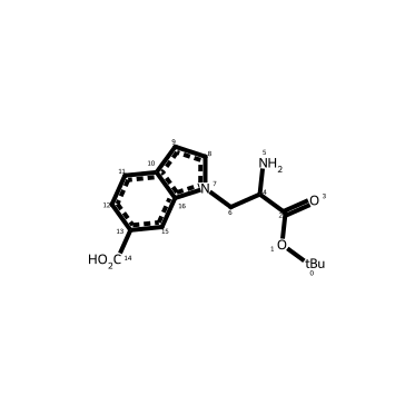 CC(C)(C)OC(=O)C(N)Cn1ccc2ccc(C(=O)O)cc21